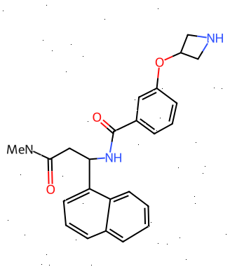 CNC(=O)CC(NC(=O)c1cccc(OC2CNC2)c1)c1cccc2ccccc12